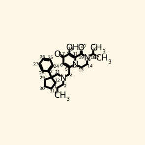 CCCN(Cc1cc(=O)c(O)c2n1CCN(C(C)C)C2=O)CC1(c2ccccc2)CCCC1